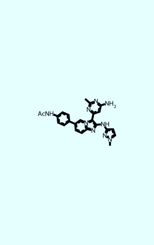 CC(=O)Nc1ccc(-c2ccc3nc(Nc4ccn(C)n4)c(-c4cc(N)nc(C)n4)n3c2)cc1